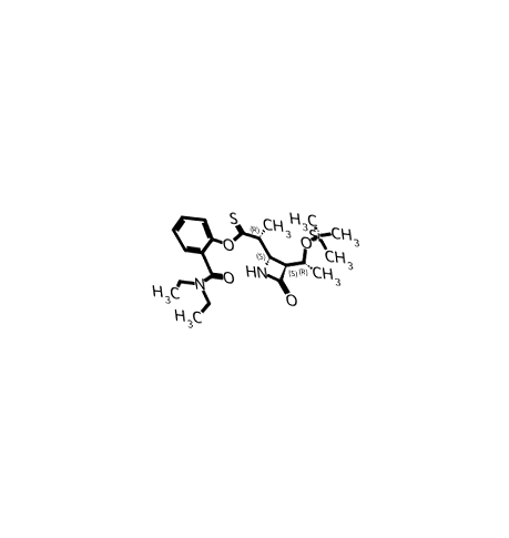 CCN(CC)C(=O)c1ccccc1OC(=S)[C@H](C)[C@H]1NC(=O)[C@@H]1[C@@H](C)O[Si](C)(C)C